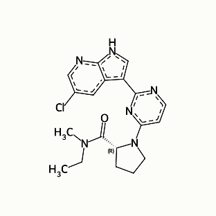 CCN(C)C(=O)[C@H]1CCCN1c1ccnc(-c2c[nH]c3ncc(Cl)cc23)n1